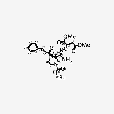 COC(=O)/C=C(\ON=C(N)C1(C)CN(C(=O)OC(C)(C)C)CCN1C(=O)OCc1ccccc1)C(=O)OC